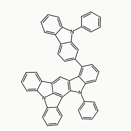 c1ccc(-n2c3ccccc3c3ccc(-c4cccc5c4c4cc6c7ccccc7n7c8ccccc8c(c4n5-c4ccccc4)c67)cc32)cc1